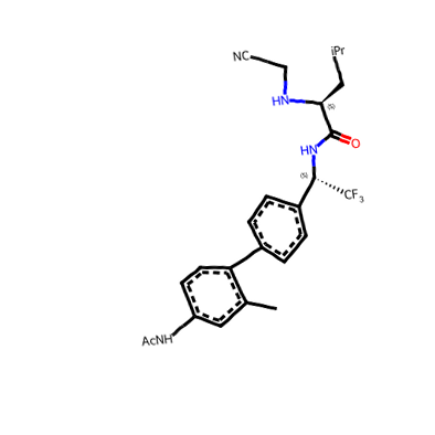 CC(=O)Nc1ccc(-c2ccc([C@H](NC(=O)[C@H](CC(C)C)NCC#N)C(F)(F)F)cc2)c(C)c1